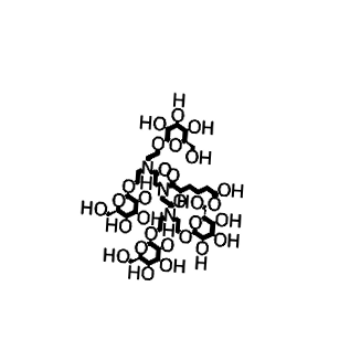 O=C(O)CCCCC(=O)N(CC(=O)N(CCO[C@H]1O[C@H](CO)[C@@H](O)[C@H](O)[C@@H]1O)CCO[C@H]1O[C@H](CO)[C@@H](O)[C@H](O)[C@@H]1O)CC(=O)N(CCO[C@H]1O[C@H](CO)[C@@H](O)[C@H](O)[C@@H]1O)CCO[C@H]1O[C@H](CO)[C@@H](O)[C@H](O)[C@@H]1O